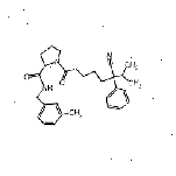 Cc1cccc(CNC(=O)[C@H]2CCCN2C(=O)CCCCC(C#N)(c2ccccc2)C(C)C)c1